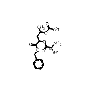 CCCC(=O)OC(C)CC(OC(=O)[C@H](N)C(C)C)C(=O)OCc1ccccc1